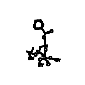 CC(C)OP(=O)(OC(C)C)[C@@H]1O[C@H](COC(=O)c2ccccc2)C[C@H]1O[Si](C)(C)C(C)(C)C